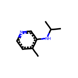 Cc1ccncc1NC(C)C